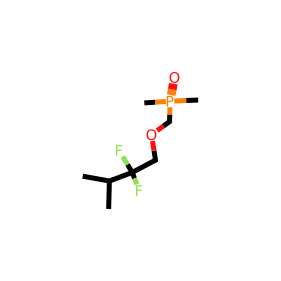 CC(C)C(F)(F)COCP(C)(C)=O